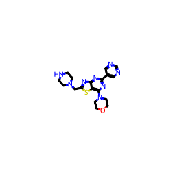 c1ncc(-c2nc(N3CCOCC3)c3sc(CN4CCNCC4)nc3n2)cn1